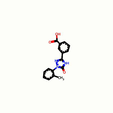 Cc1ccccc1-n1nc(-c2cccc(C(=O)O)c2)[nH]c1=O